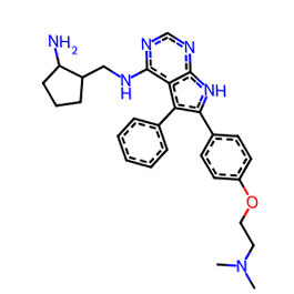 CN(C)CCOc1ccc(-c2[nH]c3ncnc(NCC4CCCC4N)c3c2-c2ccccc2)cc1